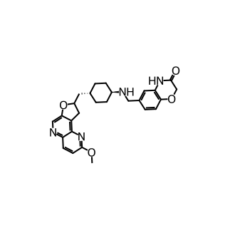 COc1ccc2ncc3c(c2n1)CC(C[C@H]1CC[C@H](NCc2ccc4c(c2)NC(=O)CO4)CC1)O3